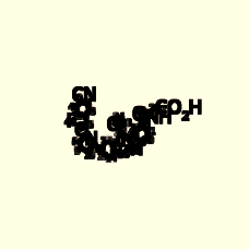 N#Cc1ccc(COc2cccc(C3CCN(Cc4nc5ccc(C(=O)NCC(=O)O)cc5n4C[C@@H]4CCO4)CC3)n2)c(F)c1